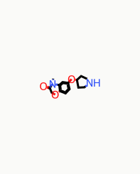 CN1C(=O)COc2ccc(OC3CCNCC3)cc21